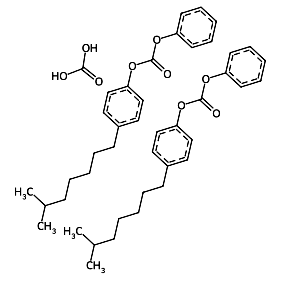 CC(C)CCCCCc1ccc(OC(=O)Oc2ccccc2)cc1.CC(C)CCCCCc1ccc(OC(=O)Oc2ccccc2)cc1.O=C(O)O